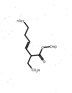 CCCCCCCCCCC=CC(CC(=O)O)C(=O)OC=O